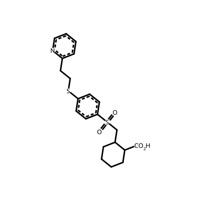 O=C(O)C1CCCCC1CS(=O)(=O)c1ccc(SCCc2ccccn2)cc1